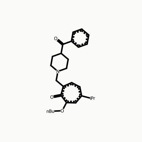 CCCCOc1cc(C(C)C)ccc(CN2CCC(C(=O)c3ccccc3)CC2)c1=O